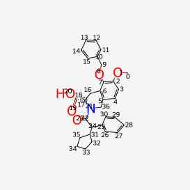 COc1ccc2c(c1OCc1ccccc1)C[C@@H](C(=O)O)N(C(=O)C(c1ccccc1)C1CCCC1)C2